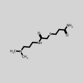 CN(C)CCCNC(=O)CSCCC(N)=O